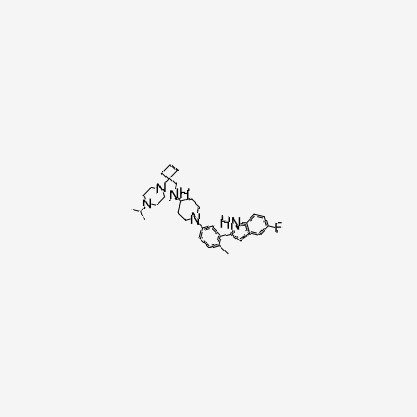 Cc1ccc(N2CCC(NCC3(N4CCN(C(C)C)CC4)CCC3)CC2)cc1-c1cc2cc(F)ccc2[nH]1